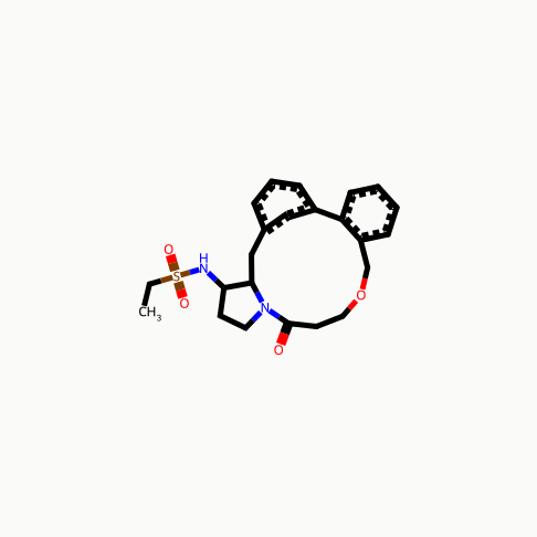 CCS(=O)(=O)NC1CCN2C(=O)CCOCc3ccccc3-c3cccc(c3)CC12